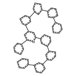 c1ccc(-c2cccc(-c3cccc(-c4cccc(-c5cc(-c6ccccc6)nc(-c6cccc(-c7cccc(-c8cccc(-c9ccccc9)c8)c7)c6)c5)c4)c3)c2)cc1